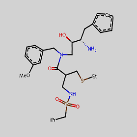 CCSCC(CNS(=O)(=O)CC(C)C)C(=O)N(Cc1cccc(OC)c1)C[C@@H](O)[C@@H](N)Cc1ccccc1